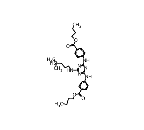 CCCCOC(=O)c1ccc(Nc2nc(NCCC[SiH](C)C)nc(Nc3ccc(C(=O)OCCCC)cc3)n2)cc1